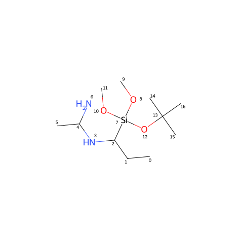 CCC(NC(C)N)[Si](OC)(OC)OC(C)(C)C